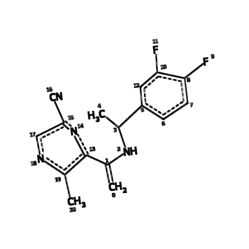 C=C(NC(C)c1ccc(F)c(F)c1)c1nc(C#N)cnc1C